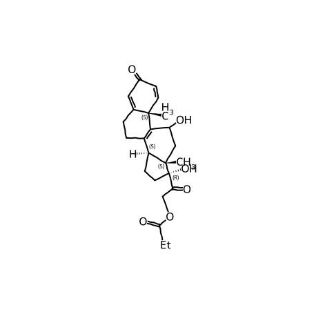 CCC(=O)OCC(=O)[C@@]1(O)CC[C@H]2C3=C(C(O)C[C@@]21C)[C@@]1(C)C=CC(=O)C=C1CC3